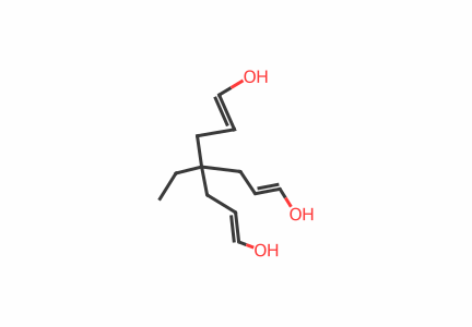 CCC(CC=CO)(CC=CO)CC=CO